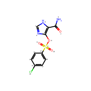 NC(=O)c1[nH]cnc1OS(=O)(=O)c1ccc(Cl)cc1